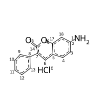 Cl.Nc1ccc2cc(-c3ccccc3)c(=O)oc2c1